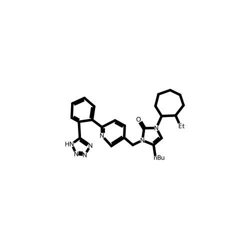 CCCCc1cn(C2CCCCCC2CC)c(=O)n1Cc1ccc(-c2ccccc2-c2nnn[nH]2)nc1